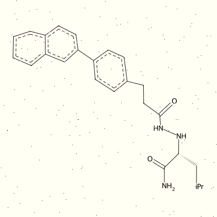 CC(C)C[C@@H](NNC(=O)CCc1ccc(-c2ccc3ccccc3c2)cc1)C(N)=O